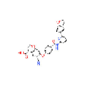 N#Cc1cc2c(cc1Oc1ccc(C(=O)Nc3cccc(-c4ccc5c(c4)CCO5)n3)cc1)OCCC2C(=O)O